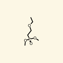 CCOCCP(=O)(OC)OC